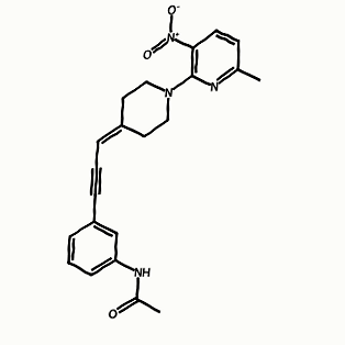 CC(=O)Nc1cccc(C#CC=C2CCN(c3nc(C)ccc3[N+](=O)[O-])CC2)c1